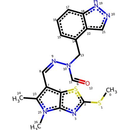 CSc1nc2c(s1)c(/C=N\N(C=O)Cc1cccc3[nH]ncc13)c(C)n2C